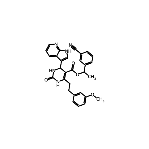 COc1cccc(CCC2=C(C(=O)OC(C)c3cccc(C#N)c3)C(c3c[nH]c4ncccc34)NC(=O)N2)c1